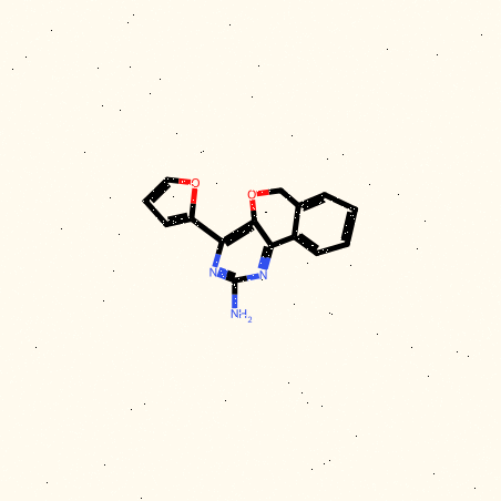 Nc1nc(-c2ccco2)c2c(n1)-c1ccccc1CO2